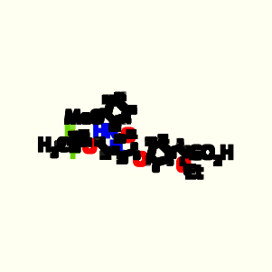 CCOC(Cc1ccc(OCCN(CCOCC(C)(F)F)C(=O)Nc2ccccc2OC)cc1)C(=O)O